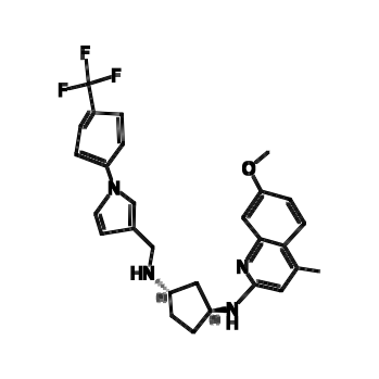 COc1ccc2c(C)cc(N[C@H]3CC[C@H](NCc4ccn(-c5ccc(C(F)(F)F)cc5)c4)C3)nc2c1